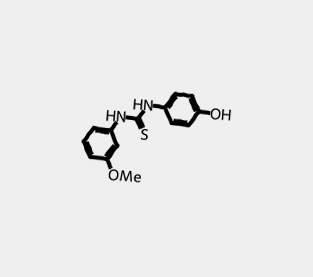 COc1cccc(NC(=S)Nc2ccc(O)cc2)c1